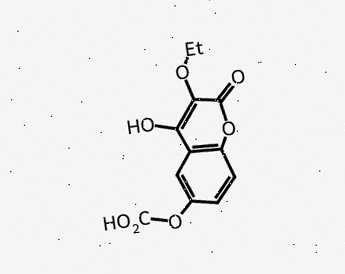 CCOc1c(O)c2cc(OC(=O)O)ccc2oc1=O